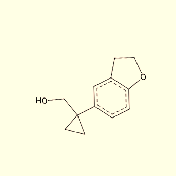 OCC1(c2ccc3c(c2)CCO3)CC1